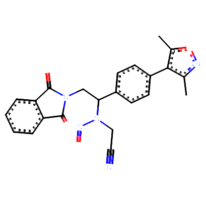 Cc1noc(C)c1-c1ccc(C(CN2C(=O)c3ccccc3C2=O)N(CC#N)N=O)cc1